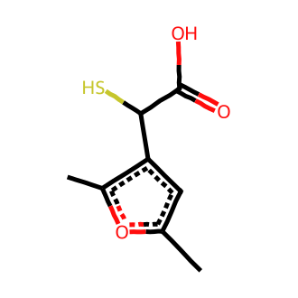 Cc1cc(C(S)C(=O)O)c(C)o1